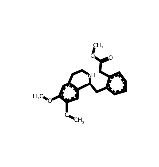 COC(=O)Cc1ccccc1CC1NCCc2cc(OC)c(OC)cc21